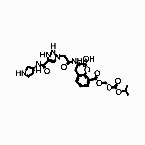 CC(C)OC(=O)OCOC(=O)c1cccc2c1OB(O)[C@@H](NC(=O)CN1C=C(C(=O)N[C@H]3CCNC3)NN1)C2